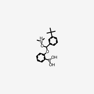 C[SiH](C)OC(Oc1ccccc1B(O)O)c1cccc(C(C)(C)C)c1